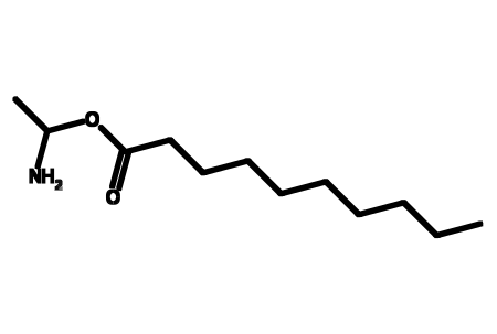 CCCCCCCCCC(=O)OC(C)N